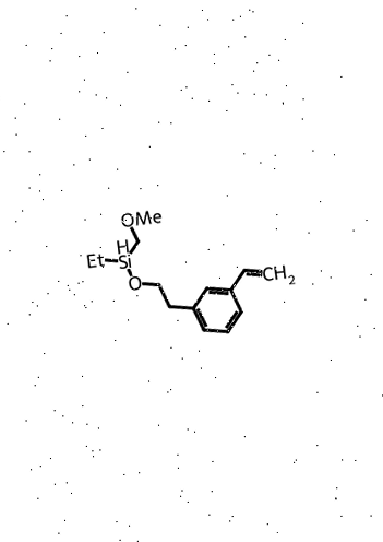 C=Cc1cccc(CCO[SiH](CC)COC)c1